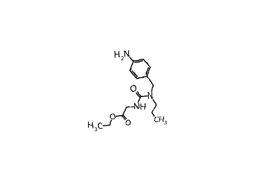 CCCN(Cc1ccc(N)cc1)C(=O)NCC(=O)OCC